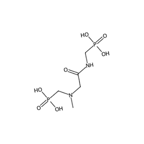 CN(CC(=O)NCP(=O)(O)O)CP(=O)(O)O